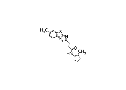 CC1=C(NC(=O)CCc2cn3c(n2)sc2cc(C)ccc23)CCC1